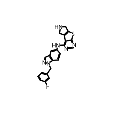 Fc1cccc(Cn2ncc3cc(Nc4ncnc5sc6c(c45)CNC6)ccc32)c1